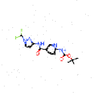 CC(C)(C)OC(=O)Nc1ccc(C(=O)Nc2ccn(C(F)F)n2)cn1